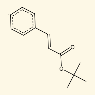 CC(C)(C)OC(=O)/C=C/c1cc[c]cc1